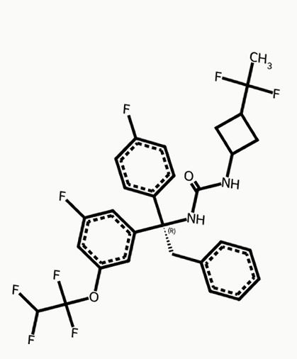 CC(F)(F)C1CC(NC(=O)N[C@](Cc2ccccc2)(c2ccc(F)cc2)c2cc(F)cc(OC(F)(F)C(F)F)c2)C1